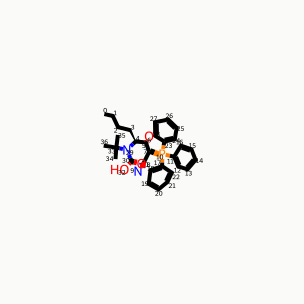 CCCC[C@@H](C(=O)C(C#N)=P(c1ccccc1)(c1ccccc1)c1ccccc1)N(C(=O)O)C(C)(C)C